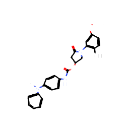 COc1ccc(C)c(N2CC(OC(=O)Nc3ccc(N(C)c4ccccc4)cc3)CC2=O)c1